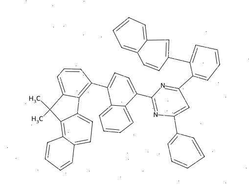 CC1(C)c2cccc(-c3ccc(-c4nc(-c5ccccc5)cc(-c5ccccc5-c5ccc6ccccc6c5)n4)c4ccccc34)c2-c2ccc3ccccc3c21